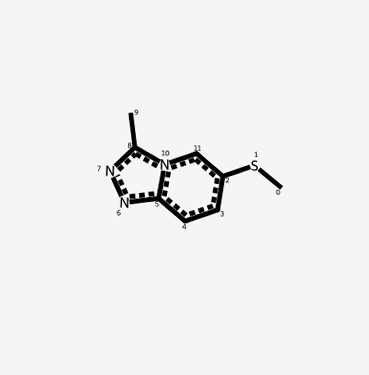 CSc1ccc2nnc(C)n2c1